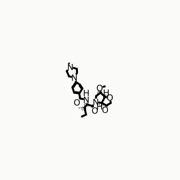 CC[C@H](C)[C@H](NC(=O)c1ccc(N2CCN(C)CC2)cc1)C(=O)N1C[C@@H](OC)[C@H]2OCC(=O)[C@H]21